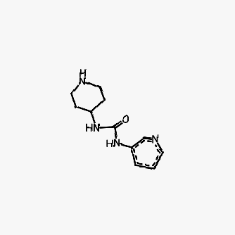 O=C(Nc1cccnc1)NC1CCNCC1